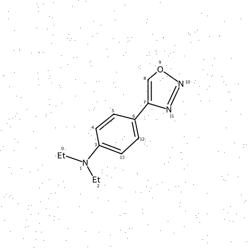 CCN(CC)c1ccc(-c2conn2)cc1